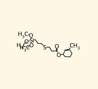 CO[Si](CCCSCCC(=O)OC1C=C(C)CCC1)(OC)OC